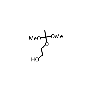 COC(C)(OC)OCCO